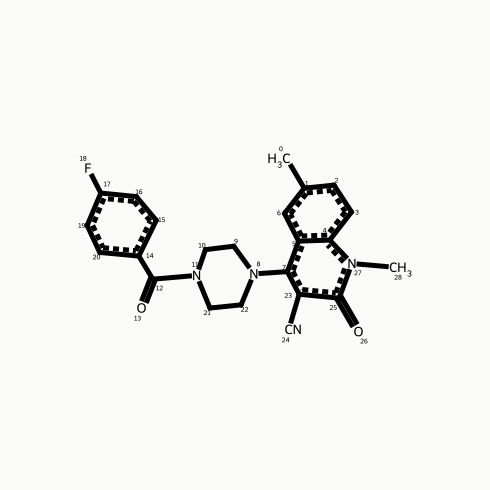 Cc1ccc2c(c1)c(N1CCN(C(=O)c3ccc(F)cc3)CC1)c(C#N)c(=O)n2C